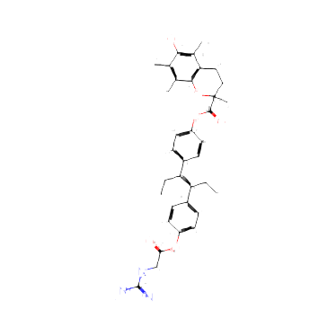 CC/C(=C(/CC)c1ccc(OC(=O)C2(C)CCc3c(C)c(O)c(C)c(C)c3O2)cc1)c1ccc(OC(=O)CNC(=N)N)cc1